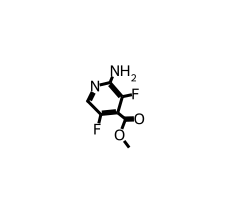 COC(=O)c1c(F)cnc(N)c1F